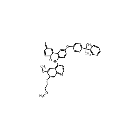 COCCOc1cc2ncnc(Nc3ccc(Oc4ccc(C(C)(C)c5ccccc5)cc4)cc3C3=CC(=O)C=CC3=O)c2cc1OC